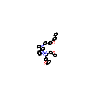 c1ccc(-c2ccc3oc4ccc(-c5cccc(-n6c7ccccc7c7c8c9ccccc9n(-c9nc(-c%10ccc%11oc%12ccccc%12c%11c%10)cc(-c%10ccc%11oc%12ccccc%12c%11c%10)n9)c8ccc76)c5)cc4c3c2)cc1